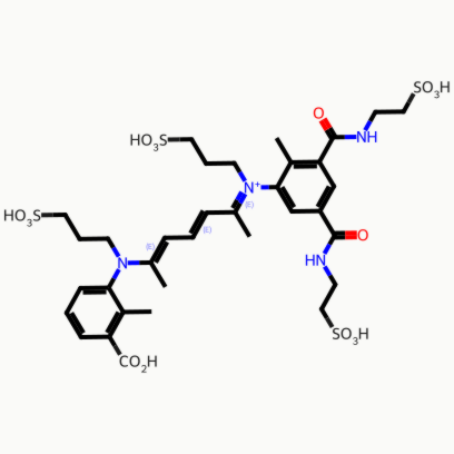 C\C(=C/C=C/C(C)=[N+](\CCCS(=O)(=O)O)c1cc(C(=O)NCCS(=O)(=O)O)cc(C(=O)NCCS(=O)(=O)O)c1C)N(CCCS(=O)(=O)O)c1cccc(C(=O)O)c1C